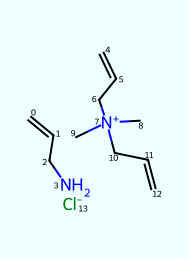 C=CCN.C=CC[N+](C)(C)CC=C.[Cl-]